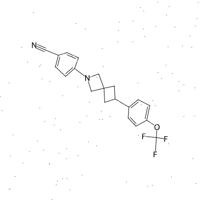 N#Cc1ccc(N2CC3(CC(c4ccc(OC(F)(F)F)cc4)C3)C2)cc1